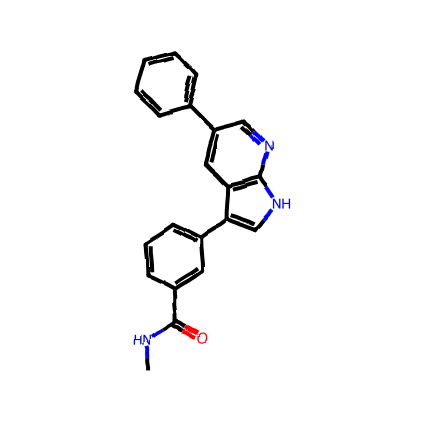 CNC(=O)c1cccc(-c2c[nH]c3ncc(-c4ccccc4)cc23)c1